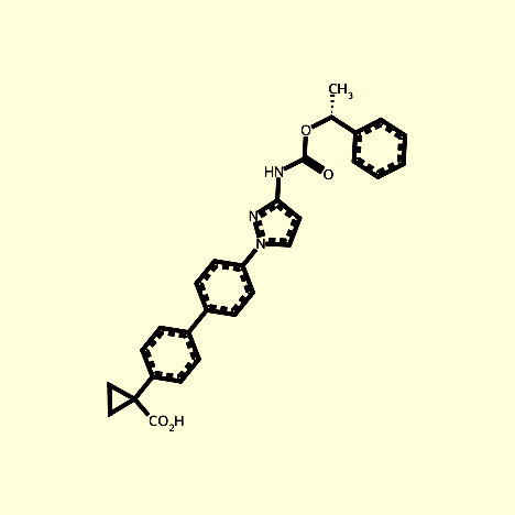 C[C@@H](OC(=O)Nc1ccn(-c2ccc(-c3ccc(C4(C(=O)O)CC4)cc3)cc2)n1)c1ccccc1